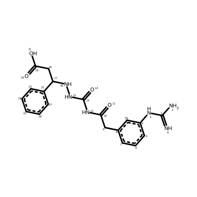 N=C(N)Nc1cccc(CC(=O)NC(=O)NNC(CC(=O)O)c2ccccc2)c1